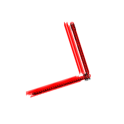 CCOCC.CCOCC.CCOCC.O.O.O.O.O.O.O.O.O.O.O.O.O.O.O.O.O.O.O.O.O.O.O.O.O.O.O.O.O.O.O.O.O.O.O.O.O.O.O.O.O.O.O.O.O.O.O.O.O.O.O.O.O.O.O.O.O.O.O.O.O.O.O.O.O.O.O.O.O.O.O.O.O.O.O.O.O.O.O.O.O.O.O.O.O.O.O.O.O.O.O.O.O.O.O.O.O